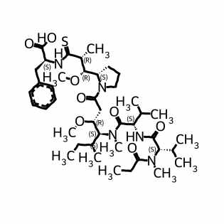 CCC(=O)N(C)[C@H](C(=O)N[C@H](C(=O)N(C)[C@@H]([C@@H](C)CC)[C@@H](CC(=O)N1CCC[C@H]1[C@H](OC)[C@@H](C)C(=S)N[C@@H](Cc1ccccc1)C(=O)O)OC)C(C)C)C(C)C